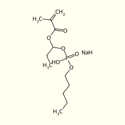 C=C(C)C(=O)OC(CC)OP(=O)(O)OCCCCC.[NaH]